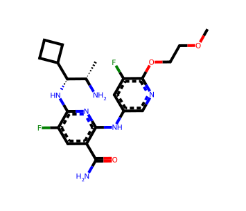 COCCOc1ncc(Nc2nc(N[C@H](C3CCC3)[C@H](C)N)c(F)cc2C(N)=O)cc1F